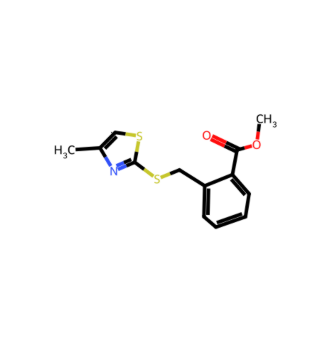 COC(=O)c1ccccc1CSc1nc(C)[c]s1